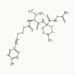 BC(=O)CNC(=O)C1(NC(=O)[C@@H](NC(=O)CCCC#Cc2cnc(O)nc2)C(C)C)CCN(C)CC1